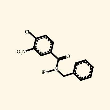 CC(C)N(Cc1ccccc1)C(=O)c1ccc(Cl)c([N+](=O)[O-])c1